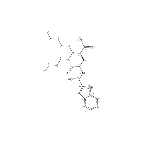 CCCCCN(CCCCC)[C@H](CC(C=O)NC(=O)c1cc2ccccc2[nH]1)C(=O)O